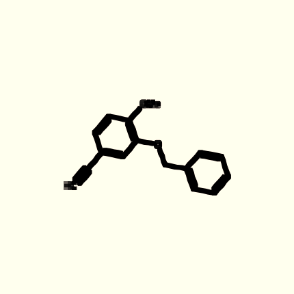 C#Cc1ccc(OC)c(OCc2ccccc2)c1